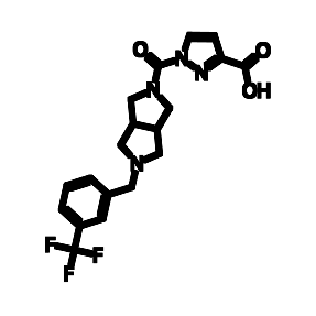 O=C(O)c1ccn(C(=O)N2CC3CN(Cc4cccc(C(F)(F)F)c4)CC3C2)n1